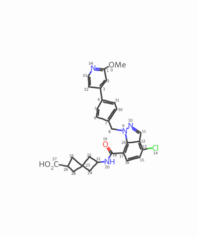 COc1cc(-c2ccc(Cn3ncc4c(Cl)ccc(C(=O)NC5CC6(C5)CC(C(=O)O)C6)c43)cc2)ccn1